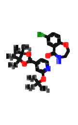 CC(C)(C)Oc1cc(B2OC(C)(C)C(C)(C)O2)ccn1.O=C1NCCOc2ccc(Br)cc21